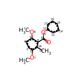 COc1ccc(OC)c(C(=O)Oc2ccccc2)c1C